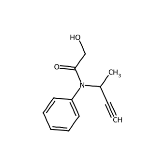 C#CC(C)N(C(=O)CO)c1ccccc1